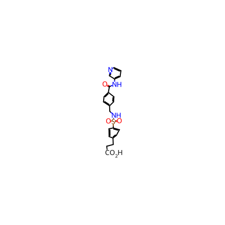 O=C(O)CCc1ccc(S(=O)(=O)NCc2ccc(C(=O)Nc3cccnc3)cc2)cc1